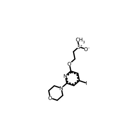 C[S+]([O-])CCOc1cc(I)cc(N2CCOCC2)n1